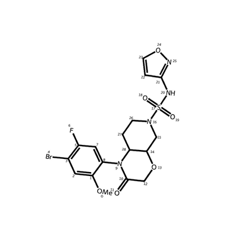 COc1cc(Br)c(F)cc1N1C(=O)COC2CN(S(=O)(=O)Nc3ccon3)CCC21